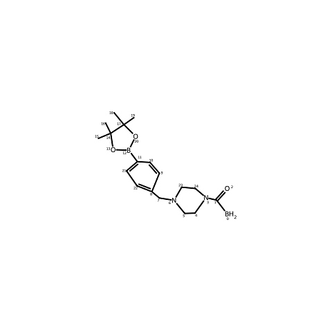 BC(=O)N1CCN(Cc2ccc(B3OC(C)(C)C(C)(C)O3)cc2)CC1